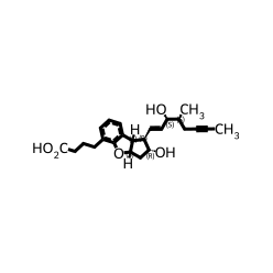 CC#CC[C@H](C)[C@H](O)C=C[C@@H]1[C@H]2c3cccc(CCCC(=O)O)c3O[C@H]2C[C@H]1O